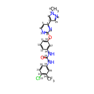 Cn1cc(-c2ccnc(Oc3cccc(NC(=O)Nc4ccc(Cl)c(C(F)(F)F)c4)c3)n2)cn1